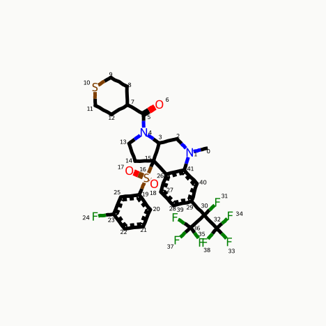 CN1CC2N(C(=O)C3CCSCC3)CCC2(S(=O)(=O)c2cccc(F)c2)c2ccc(C(F)(C(F)(F)F)C(F)(F)F)cc21